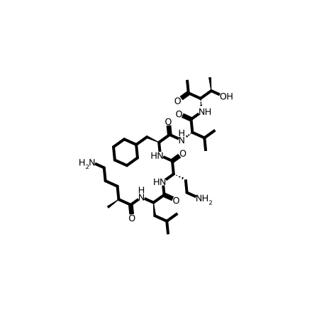 CC(=O)[C@@H](NC(=O)[C@@H](NC(=O)[C@H](CC1CCCCC1)NC(=O)[C@H](CCN)NC(=O)[C@@H](CC(C)C)NC(=O)[C@@H](C)CCCN)C(C)C)[C@@H](C)O